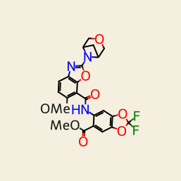 COC(=O)c1cc2c(cc1NC(=O)c1c(OC)ccc3nc(N4C5COCC4C5)oc13)OC(F)(F)O2